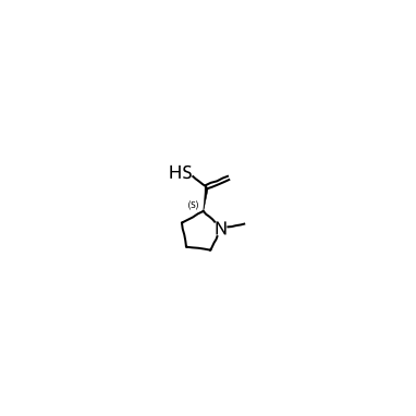 C=C(S)[C@@H]1CCCN1C